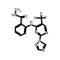 CNC(=O)c1ccccc1Nc1nc(-n2cncn2)ncc1C(F)(F)F